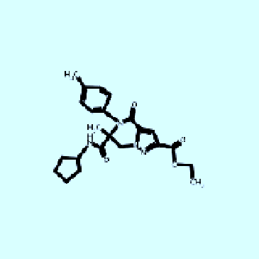 CCOC(=O)c1cc2n(n1)CC(C)(C(=O)NC1CCCC1)N(c1ccc(C)cc1)C2=O